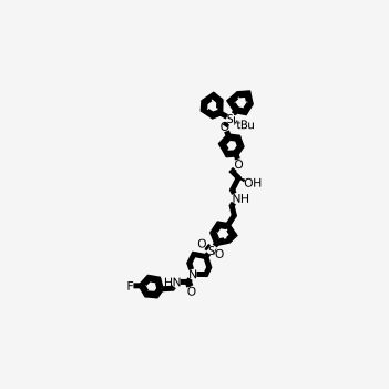 CC(C)(C)[Si](Oc1ccc(OC[C@@H](O)CNCCc2ccc(S(=O)(=O)C3CCN(C(=O)NCc4ccc(F)cc4)CC3)cc2)cc1)(c1ccccc1)c1ccccc1